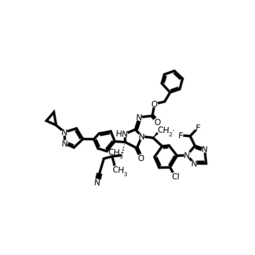 [CH2][C@@H](c1ccc(Cl)c(-n2ncnc2C(F)F)c1)N1C(=O)[C@@](CC(C)(C)CC#N)(c2ccc(-c3cnn(C4CC4)c3)cc2)N/C1=N/C(=O)OCc1ccccc1